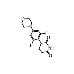 O=C1CCC(c2c(F)cc(N3CCNCC3)cc2F)C(=O)N1